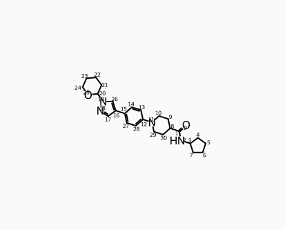 O=C(NC1CCCC1)C1CCN(c2ccc(-c3cnn(C4CCCCO4)c3)cc2)CC1